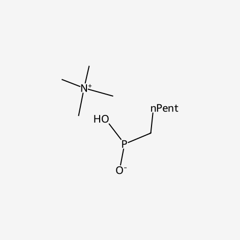 CCCCCCP([O-])O.C[N+](C)(C)C